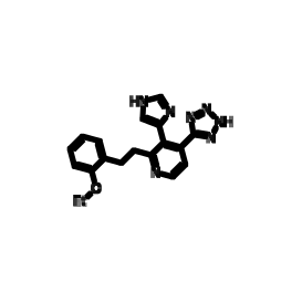 CCOc1ccccc1CCc1nccc(-c2nn[nH]n2)c1-c1c[nH]cn1